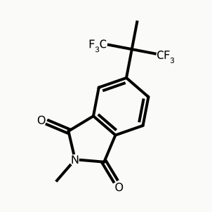 CN1C(=O)c2ccc(C(C)(C(F)(F)F)C(F)(F)F)cc2C1=O